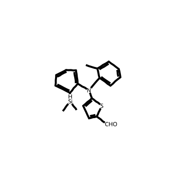 Cc1ccccc1N(c1ccc(C=O)s1)c1ccccc1[SiH](C)C